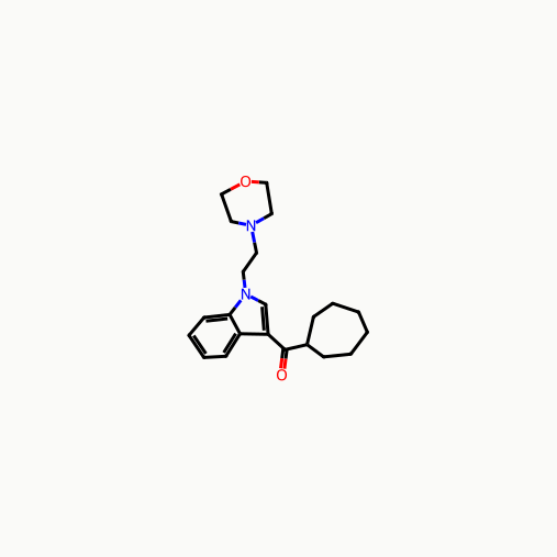 O=C(c1cn(CCN2CCOCC2)c2ccccc12)C1CCCCCC1